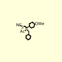 COc1ccc(C(=CSC#N)N(Cc2ccccc2)C(C)=O)cc1